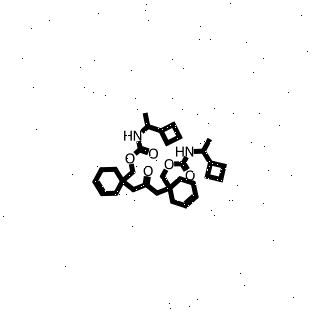 CC(NC(=O)OCC1(CC(=O)CC2(COC(=O)NC(C)C3CCC3)CC=CCC2)CC=CCC1)C1CCC1